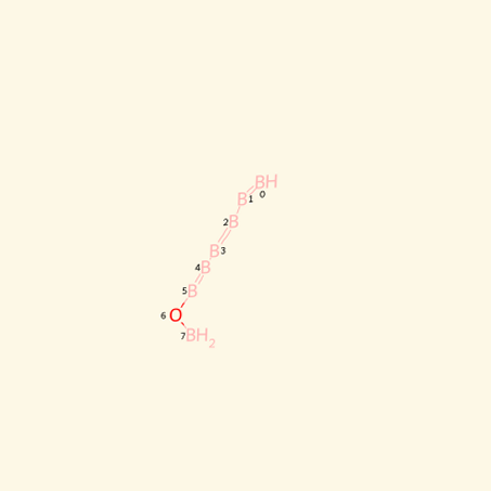 B=BB=BB=BOB